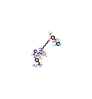 Cc1ncsc1-c1ccc(CNC(=O)C2CCCN2C(=O)C(NC(=O)CCCCCCCCOc2cc(C(=O)Nc3c(Cl)cncc3Cl)ccc2OC(F)F)C(C)(C)C)cc1